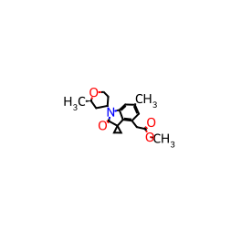 COC(=O)Cc1cc(C)cc2c1C1(CC1)C(=O)N2[C@H]1CCO[C@H](C)C1